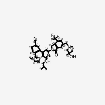 CC(C)CNc1cc(-c2cc(C#N)ccc2-c2nncn2C)cc(N2Cc3c(cc(CN(C)CC(C)(C)O)cc3C(F)(F)F)C2=O)n1